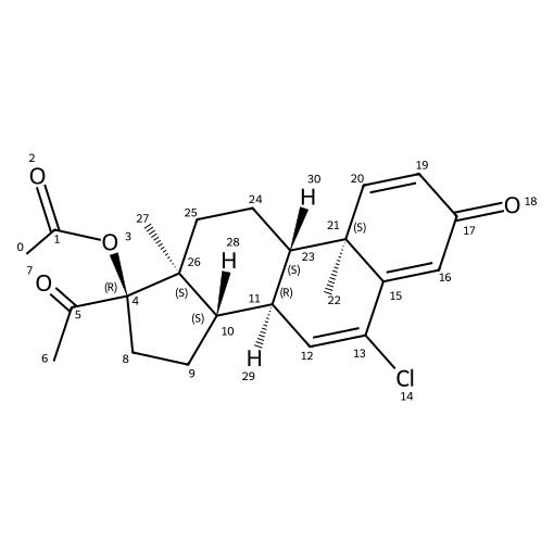 CC(=O)O[C@]1(C(C)=O)CC[C@H]2[C@@H]3C=C(Cl)C4=CC(=O)C=C[C@]4(C)[C@H]3CC[C@@]21C